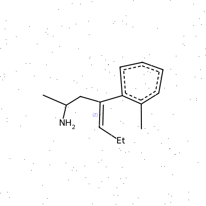 CC/C=C(/CC(C)N)c1ccccc1C